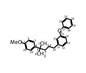 COc1ccc(C(C)(C)CCCc2cccc(Oc3ccccc3)c2)cc1